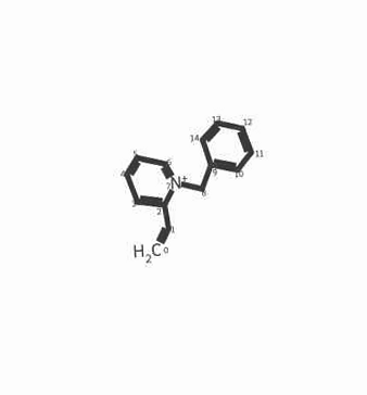 C=Cc1cccc[n+]1Cc1ccccc1